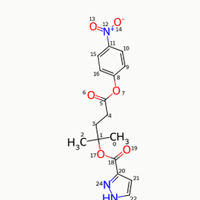 CC(C)(CCC(=O)Oc1ccc([N+](=O)[O-])cc1)OC(=O)c1cc[nH]n1